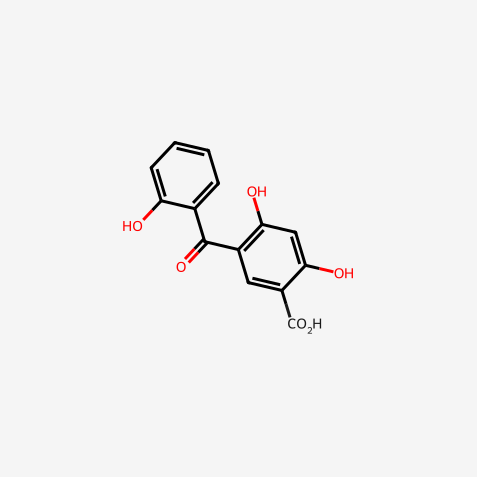 O=C(O)c1cc(C(=O)c2ccccc2O)c(O)cc1O